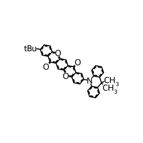 CC(C)(C)c1ccc2oc3cc4c(=O)c5cc(N6c7ccccc7C(C)(C)c7ccccc76)ccc5oc4cc3c(=O)c2c1